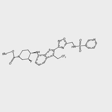 CC(C)(C)OC(=O)N1CC[C@@H](Nc2cccc3c(CC(F)(F)F)c(-c4noc(CNS(=O)(=O)c5cccnc5)n4)sc23)[C@@H](F)C1